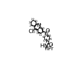 CCCNC(=O)N1CCN(C(=O)c2ccc3c(Cl)c4c(nc3c2)CCCC4)CC1